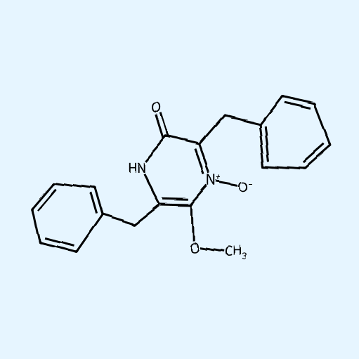 COc1c(Cc2ccccc2)[nH]c(=O)c(Cc2ccccc2)[n+]1[O-]